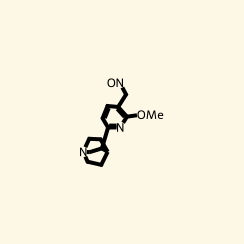 COc1nc(C2CN3CCC2CC3)ccc1CN=O